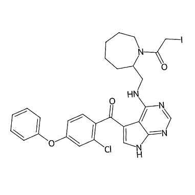 O=C(c1ccc(Oc2ccccc2)cc1Cl)c1c[nH]c2ncnc(NCC3CCCCCN3C(=O)CI)c12